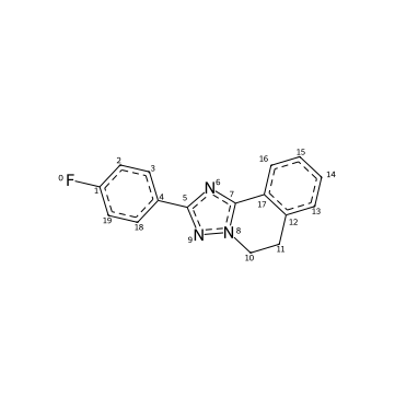 Fc1ccc(-c2nc3n(n2)CCc2ccccc2-3)cc1